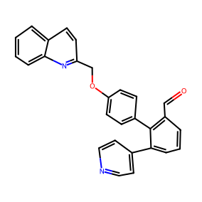 O=Cc1cccc(-c2ccncc2)c1-c1ccc(OCc2ccc3ccccc3n2)cc1